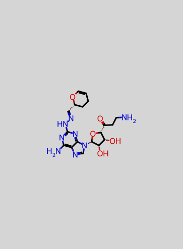 NCCC(=O)[C@H]1O[C@@H](n2cnc3c(N)nc(N/N=C/[C@H]4CCC=CO4)nc32)[C@H](O)[C@@H]1O